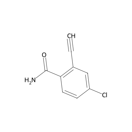 C#Cc1cc(Cl)ccc1C(N)=O